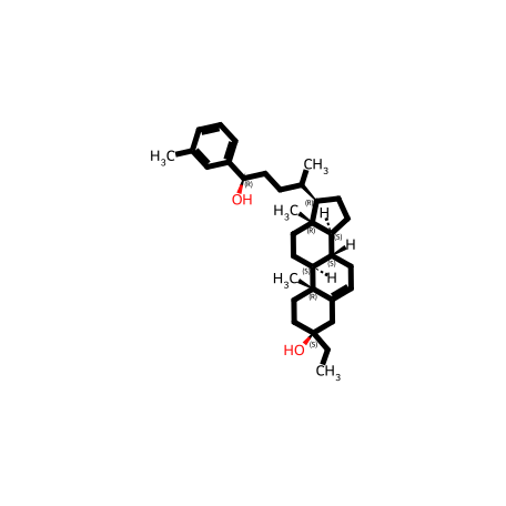 CC[C@]1(O)CC[C@@]2(C)C(=CC[C@H]3[C@@H]4CC[C@H](C(C)CC[C@@H](O)c5cccc(C)c5)[C@@]4(C)CC[C@@H]32)C1